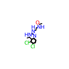 CC(=O)NCCNC1=Nc2ccc(Cl)c(Cl)c2C(C)N1